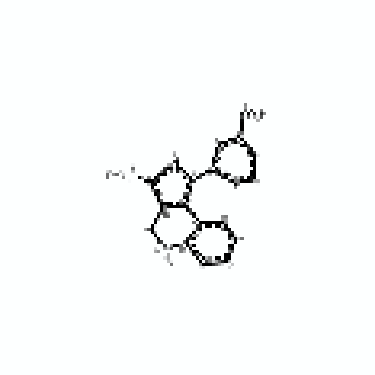 CCOC(=O)c1nn(-c2cccc(C(=O)O)c2)c2c1C[SH2]c1ccccc1-2